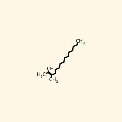 CCCCCCCCCCCCC(C)=C(C)C